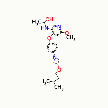 COc1cc(Oc2ccc(N3CC(OCCC(C)C)C3)cc2)c(NC(C)O)cn1